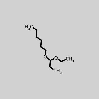 CCCCCCOC(CC)OCC